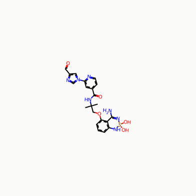 CC(C)(COc1cccc2c1C(N)=NS(O)(O)N2)NC(=O)c1ccnc(-n2cnc(C=O)c2)c1